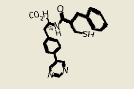 O=C(N[C@@H](Cc1ccc(-c2cncnc2)cc1)C(=O)O)C(CS)Cc1ccccc1